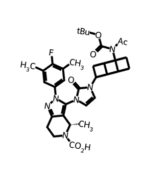 CC(=O)N(C(=O)OC(C)(C)C)C12C3C4C1C1C2C3C41n1ccn(-c2c3c(nn2-c2cc(C)c(F)c(C)c2)CCN(C(=O)O)[C@H]3C)c1=O